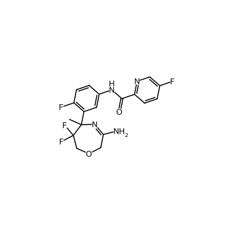 CC1(c2cc(NC(=O)c3ccc(F)cn3)ccc2F)N=C(N)COCC1(F)F